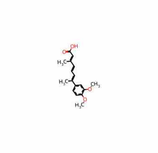 COc1ccc(/C(C)=C/C=C/C(C)=C/C(=O)O)cc1OC